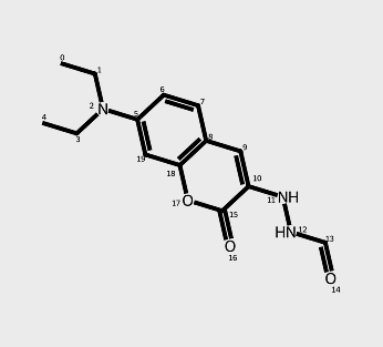 CCN(CC)c1ccc2cc(NNC=O)c(=O)oc2c1